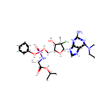 CCN(C)c1nc(N)nc2c1ncn2[C@@H]1O[C@H](COP(=O)(N[C@@H](C)C(=O)OC(C)C)Oc2ccccc2)[C@@H](O)[C@@]1(C)F